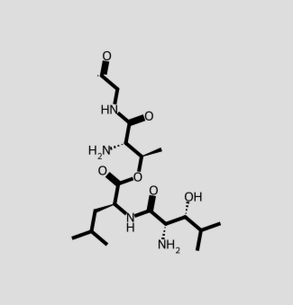 CC(C)C[C@H](NC(=O)[C@@H](N)[C@H](O)C(C)C)C(=O)O[C@H](C)[C@H](N)C(=O)NC[C]=O